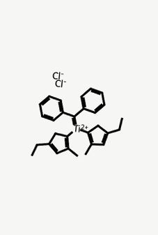 CCC1=CC(C)=[C]([Ti+2]([C]2=C(C)C=C(CC)C2)=[C](c2ccccc2)c2ccccc2)C1.[Cl-].[Cl-]